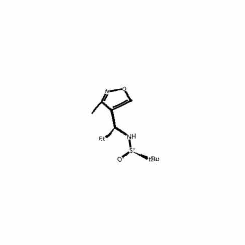 CC[C@H](N[S@+]([O-])C(C)(C)C)c1conc1C